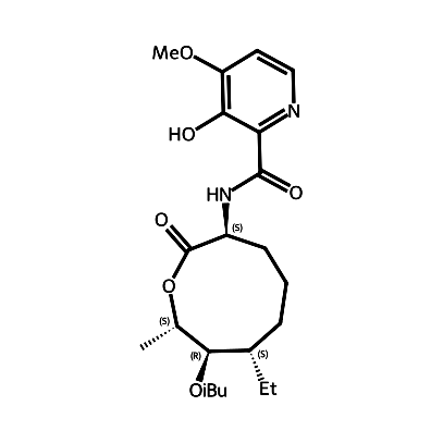 CC[C@H]1CCC[C@H](NC(=O)c2nccc(OC)c2O)C(=O)O[C@@H](C)[C@@H]1OCC(C)C